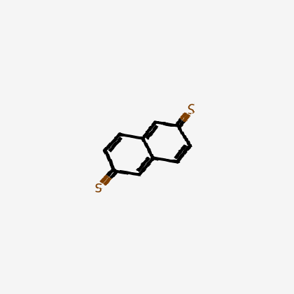 S=C1C=CC2=CC(=S)C=CC2=C1